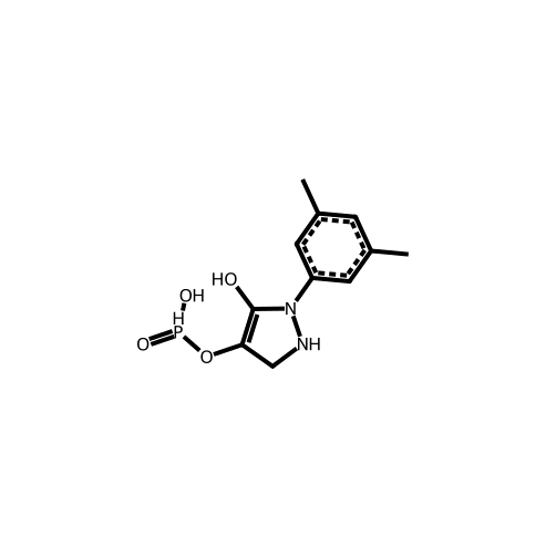 Cc1cc(C)cc(N2NCC(O[PH](=O)O)=C2O)c1